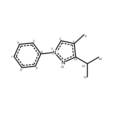 Cc1cn(-c2ccccc2)nc1C(C)C